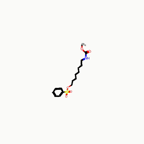 CC(C)(C)OC(=O)NCCCCCCCCOS(=O)(=O)c1ccccc1